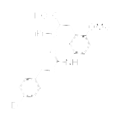 CCc1ccc(COC(=O)Nc2ccc(OC)c(CC(OC(C)C)C(=O)O)c2)cc1